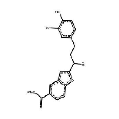 CCC(CCc1ccc(O)c(C(C)C)c1)c1cc2cc(C(=O)OC)ccc2o1